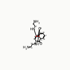 NCCNC1=CC2=CN(NCCN)C(=O)C3C=CC=CC23CC1=O